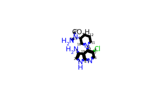 Nc1c[nH]c2ncc(Cl)c(N3CCC[C@@H](N(N)C(=O)O)C3)c12